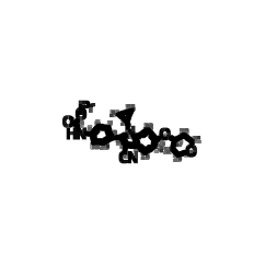 CC(C)OC(=O)Nc1ccc(-c2c(C#N)c3ccc(OC4CCOCC4)cc3n2C2CC2)cc1